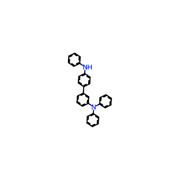 c1ccc(Nc2ccc(-c3cccc(N(c4ccccc4)c4ccccc4)c3)cc2)cc1